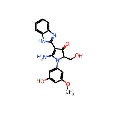 COc1cc(O)cc(N2C(N)=C(c3nc4ccccc4[nH]3)C(=O)C2CO)c1